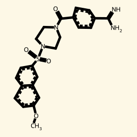 COc1ccc2ccc(S(=O)(=O)N3CCN(C(=O)c4ccc(C(=N)N)cc4)CC3)cc2c1